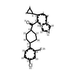 O=C(c1c(C2CC2)ccc2cncn12)C1CCC(c2ccc(Cl)cc2F)CC1